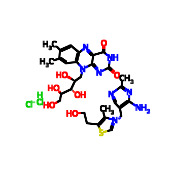 Cc1cc2nc3c(=O)[nH]c(=O)nc-3n(C[C@H](O)[C@H](O)[C@H](O)CO)c2cc1C.Cc1ncc(C[n+]2csc(CCO)c2C)c(N)n1.Cl.[Cl-]